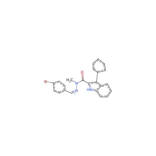 CN(/N=C\c1ccc(Br)cc1)C(=O)c1[nH]c2ccccc2c1-c1ccccc1